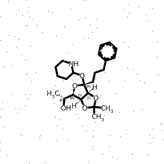 C[C@@H](O)[C@H]1O[C@](CCCc2ccccc2)(OC2CCCCN2)[C@H]2OC(C)(C)O[C@@H]12